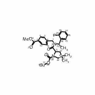 COC(=O)c1ccc(CN(C(=O)C2C[Si](C)(C)CN2C(=O)OC(C)(C)C)[C@H](C)c2ccccc2F)cc1